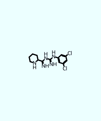 N=C(NC(=N)C1CCCCN1)Nc1cc(Cl)cc(Cl)c1